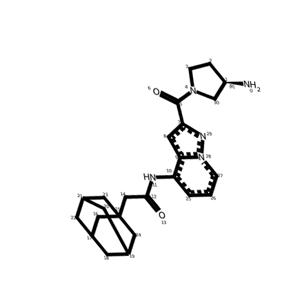 N[C@@H]1CCN(C(=O)c2cc3c(NC(=O)CC45CC6CC(CC(C6)C4)C5)cccn3n2)C1